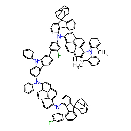 Cc1ccccc1N(c1ccccc1C(C)C)c1ccc2ccc3c(N(c4ccc(-c5ccc6c7cc(N(c8ccccc8)c8ccc9ccc%10c(N(c%11cccc(F)c%11)c%11cccc%12c%11-c%11ccccc%11C%12%11C%12CC%13CC(C%12)CC%11C%13)ccc%11ccc8c9c%11%10)ccc7n(-c7ccccc7)c6c5)c(F)c4)c4cccc5c4-c4ccccc4C54C5CC6CC(C5)CC4C6)ccc4ccc1c2c43